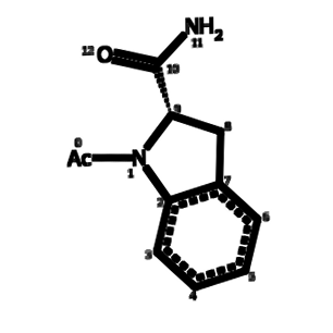 CC(=O)N1c2ccccc2C[C@H]1C(N)=O